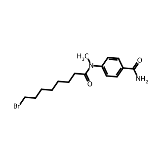 CN(C(=O)CCCCCCCBr)c1ccc(C(N)=O)cc1